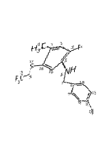 Cc1cc(F)c(NCc2ccc(I)cc2)cc1SCC(F)(F)F